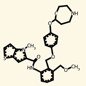 COCc1cccc(NC(=O)c2cc3sccc3n2C)c1COc1ccc(OC2CCCNCC2)cc1